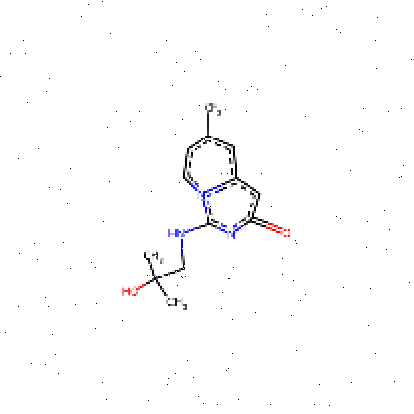 CC(C)(O)CNc1nc(=O)cc2cc(C(F)(F)F)ccn12